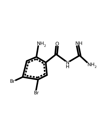 N=C(N)NC(=O)c1cc(Br)c(Br)cc1N